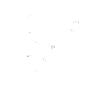 CNC[C@H]1CC2=C(c3ccn(C(C)F)n3)[C@H](c3ccc(F)cc3Cl)N=C(C3CC=CS3)N2C1